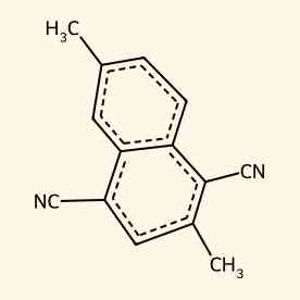 Cc1ccc2c(C#N)c(C)cc(C#N)c2c1